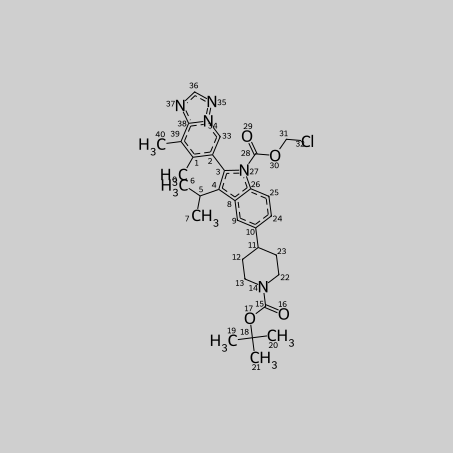 Cc1c(-c2c(C(C)C)c3cc(C4CCN(C(=O)OC(C)(C)C)CC4)ccc3n2C(=O)OCCl)cn2ncnc2c1C